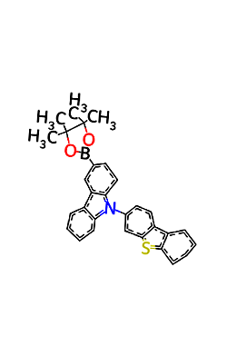 CC1(C)OB(c2ccc3c(c2)c2ccccc2n3-c2ccc3c(c2)sc2ccccc23)OC1(C)C